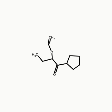 C=COC(CC)C(=O)C1CCCC1